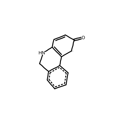 O=C1[CH]C2=C(C=C1)NCc1ccccc12